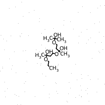 CCCOC(C)(O)CCOC(C)(O)CCOC(C)(C)O